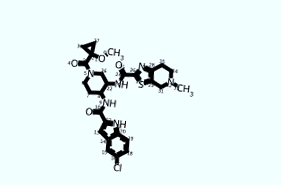 COC1(C(=O)N2CCC(NC(=O)c3cc4cc(Cl)ccc4[nH]3)C(NC(=O)c3nc4c(s3)CN(C)CC4)C2)CC1